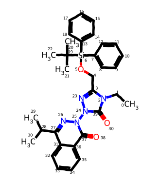 CCn1c(CO[Si](c2ccccc2)(c2ccccc2)C(C)(C)C)nn(-n2nc(C(C)C)c3ccccc3c2=O)c1=O